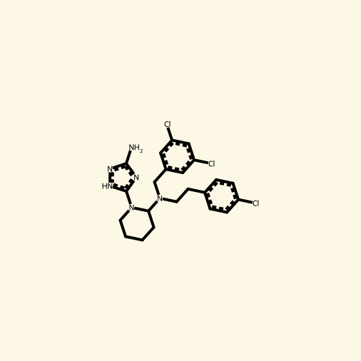 Nc1n[nH]c(N2CCCCC2N(CCc2ccc(Cl)cc2)Cc2cc(Cl)cc(Cl)c2)n1